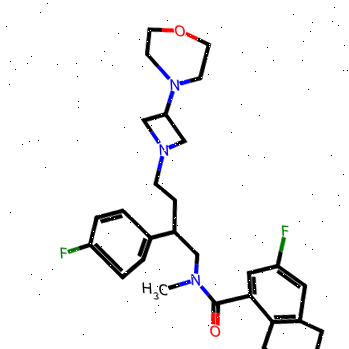 CN(CC(CCN1CC(N2CCOCC2)C1)c1ccc(F)cc1)C(=O)c1cc(F)cc2c1CCCC2